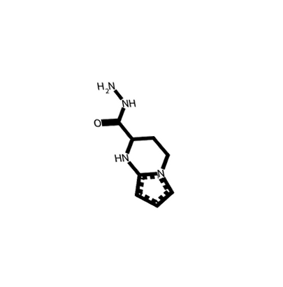 NNC(=O)C1CCn2cccc2N1